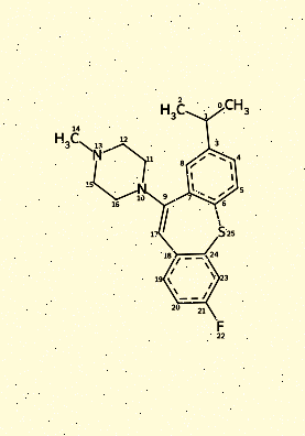 CC(C)c1ccc2c(c1)C(N1CCN(C)CC1)=Cc1ccc(F)cc1S2